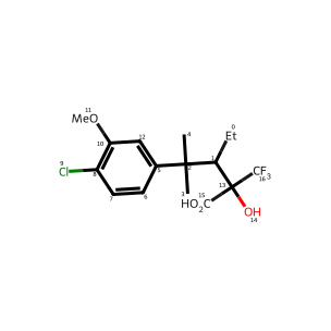 CCC(C(C)(C)c1ccc(Cl)c(OC)c1)C(O)(C(=O)O)C(F)(F)F